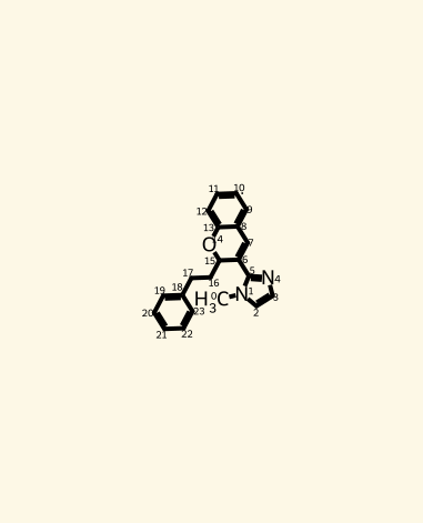 Cn1ccnc1C1=Cc2c[c]ccc2OC1CCc1ccccc1